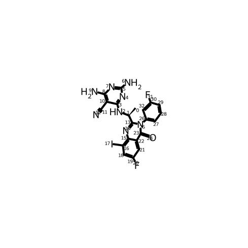 C[C@H](Nc1nc(N)nc(N)c1C#N)c1nc2c(I)cc(F)cc2c(=O)n1-c1cccc(F)c1